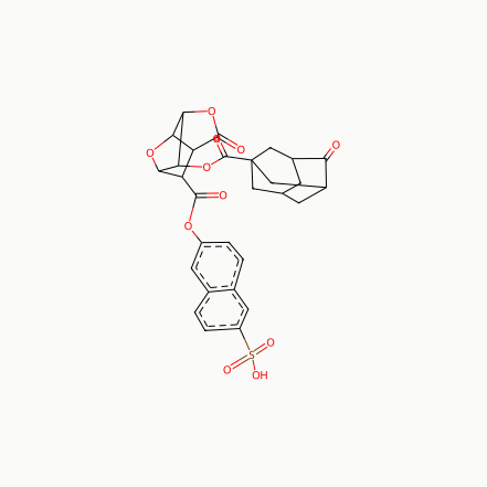 O=C1C2CC3CC1CC(C(=O)OC1C4OC(=O)C5C4OC1C5C(=O)Oc1ccc4cc(S(=O)(=O)O)ccc4c1)(C3)C2